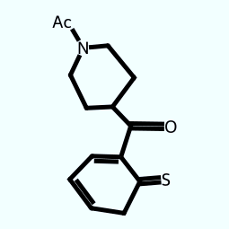 CC(=O)N1CCC(C(=O)C2=CC=CCC2=S)CC1